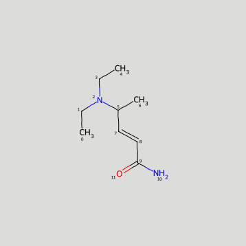 CCN(CC)C(C)C=CC(N)=O